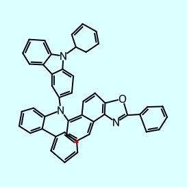 C1=CCC(n2c3ccccc3c3cc(N(c4ccccc4-c4ccccc4)c4cccc5c4ccc4oc(-c6ccccc6)nc45)ccc32)C=C1